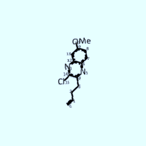 C=CCCc1nc2ccc(OC)cc2nc1Cl